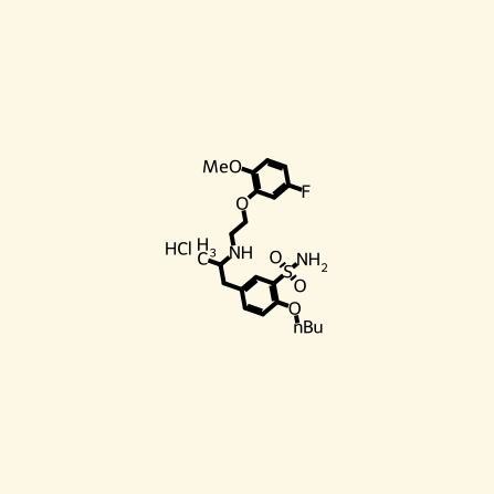 CCCCOc1ccc(CC(C)NCCOc2cc(F)ccc2OC)cc1S(N)(=O)=O.Cl